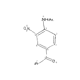 CC(=O)Nc1ccc(C(=O)C(C)C)cc1[N+](=O)[O-]